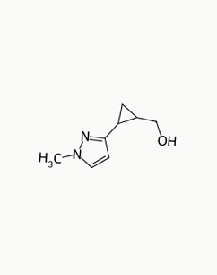 Cn1ccc(C2CC2CO)n1